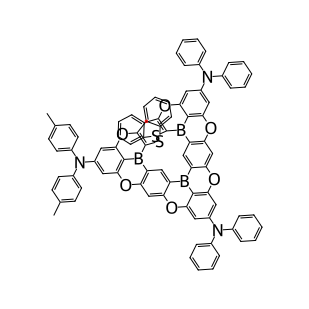 Cc1ccc(N(c2ccc(C)cc2)c2cc3c4c(c2)Oc2c(sc5ccccc25)B4c2cc4c(cc2O3)Oc2cc(N(c3ccccc3)c3ccccc3)cc3c2B4c2cc4c(cc2O3)Oc2cc(N(c3ccccc3)c3ccccc3)cc3c2B4c2sc4ccccc4c2O3)cc1